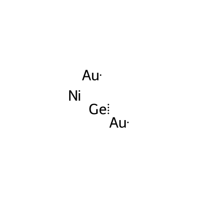 [Au].[Au].[Ge].[Ni]